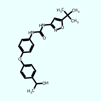 CC(O)c1ccc(Oc2ccc(NC(=O)Nc3cc(C(C)(C)C)on3)cc2)cc1